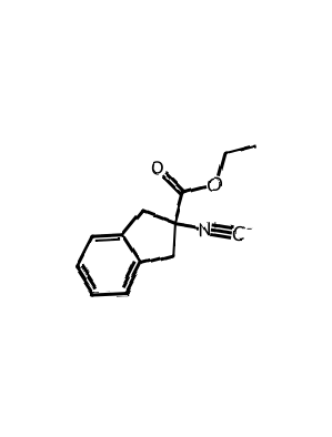 [C-]#[N+]C1(C(=O)OCC)Cc2ccccc2C1